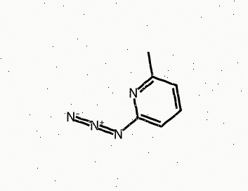 Cc1cccc(N=[N+]=[N-])n1